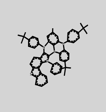 Cc1cc2c3c(c1)N(c1ccc(C(C)(C)C)cc1)c1c(n(-c4ccccc4)c4c1ccc1sc5ccccc5c14)B3c1cc(C(C)(C)C)ccc1N2c1ccc(C(C)(C)C)cc1